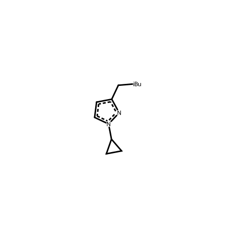 CCC(C)Cc1ccn(C2CC2)n1